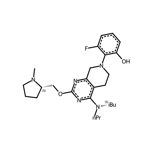 CCCN(c1nc(OC[C@@H]2CCCN2C)nc2c1CCN(c1c(O)cccc1F)C2)[C@@H](C)CC